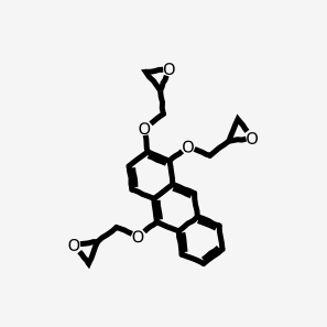 c1ccc2c(OCC3CO3)c3ccc(OCC4CO4)c(OCC4CO4)c3cc2c1